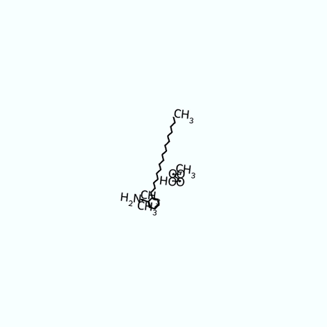 CCCCCCCCCCCCCCCCCCc1ccccc1C(C)(C)N.COS(=O)(=O)O